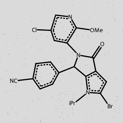 COc1ncc(Cl)cc1N1C(=O)c2cc(Br)n(C(C)C)c2C1c1ccc(C#N)cc1